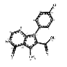 Cc1c(C(=O)O)n(-c2ccc(Cl)cc2)c2nc[nH]c(=O)c12